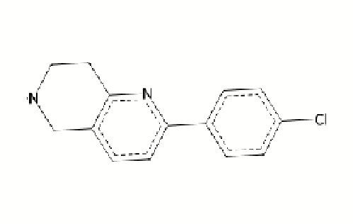 Clc1ccc(-c2ccc3c(n2)CC[N]C3)cc1